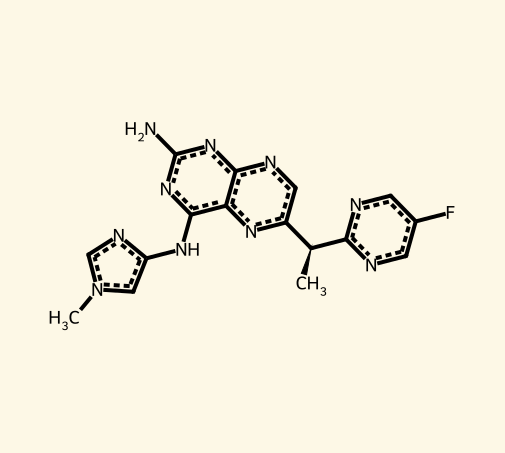 C[C@@H](c1cnc2nc(N)nc(Nc3cn(C)cn3)c2n1)c1ncc(F)cn1